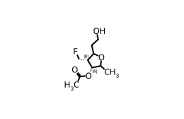 CC(=O)O[C@H]1C(C)OC(CCO)[C@H]1CF